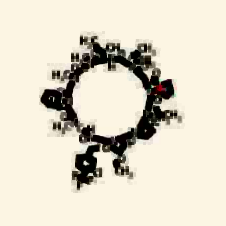 CCO[C@@H]1C[C@H]2C(=O)NC3(CCCC3)C(=O)N(C)[C@@H](CC(C)C)C(=O)N(C)[C@H](C(=O)N3CCCC3)CC(=O)N(C)[C@@H](CC(C)C)C(=O)N[C@@H]([C@@H](C)CC)C(=O)N(C)CC(=O)N(C)CC(=O)N(C)[C@@H](CC3CCCCC3)C(=O)N(C)CC(=O)N[C@@H](CCc3ccc(C(F)(F)F)c(Cl)c3)C(=O)N2C1